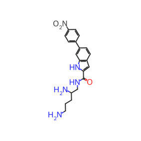 NCCCC(N)CNC(=O)c1cc2ccc(-c3ccc([N+](=O)[O-])cc3)cc2[nH]1